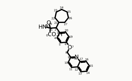 O=C(O)C1(C(c2ccc(OCc3ccc4ccccc4n3)cc2)C2CCCCCC2)NO1